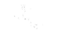 CC(C)S(=O)(=O)C[C@H]1C[C@H](n2nnnc2C(F)(F)F)CC[C@@H]1NC(=O)CNC(=O)c1cccc(C(F)(F)F)c1